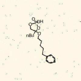 CCCCC1(OCCCCCc2ccccc2)COP(=O)(O)O1